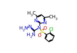 Cc1cc(C)nc(N(C(N)=NN)S(=O)(=O)c2ccccc2Cl)n1